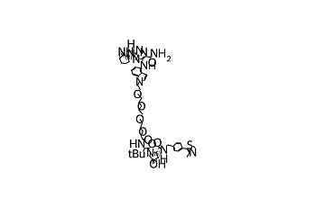 Cc1ncsc1-c1ccc(CNC(=O)[C@@H]2C[C@@H](O)CN2C(=O)C(NC(=O)COCCOCCOCCOCCn2ccc3c(Nc4nc(N[C@@H]5CCCC[C@@H]5N)nnc4C(N)=O)cccc32)C(C)(C)C)cc1